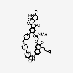 CNC(=O)COc1cc2cc(Nc3nc(N4CCN(CC5CCN(c6ccc7c(c6)C(=O)N(C6CCC(=O)NC6=O)C7=O)CC5)CC4)ncc3Cl)ccc2n(CCC2CC2)c1=O